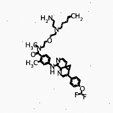 C=CCCCN(CCN)CCOCCN(C)C(=O)c1ccc(NC2=NC=CC34CC3C(c3ccc(OC(F)F)cc3)=CN=C24)cc1C